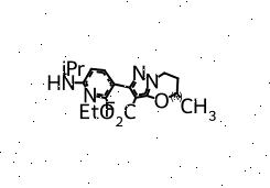 CCOC(=O)c1c(-c2ccc(NC(C)C)nc2F)nn2c1O[C@H](C)CC2